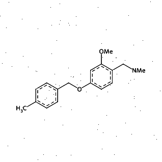 CNCc1ccc(OCc2ccc(C)cc2)cc1OC